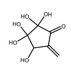 C=C1C(=O)C(O)(O)C(O)(O)C1O